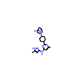 Cc1cc(Nc2cc(C)[nH]n2)nc(C2CCC(N3CC4C[C@H](C3)N4)CC2)n1